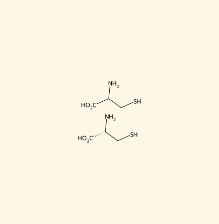 NC(CS)C(=O)O.N[C@H](CS)C(=O)O